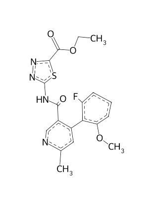 CCOC(=O)c1nnc(NC(=O)c2cnc(C)cc2-c2c(F)cccc2OC)s1